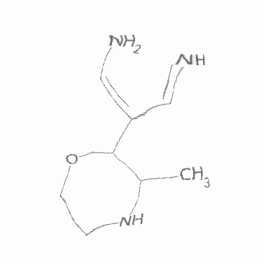 CC1NCCOC1/C(C=N)=C/N